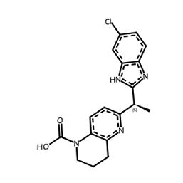 C[C@@H](c1ccc2c(n1)CCCN2C(=O)O)c1nc2ccc(Cl)cc2[nH]1